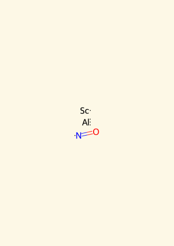 [Al].[N]=O.[Sc]